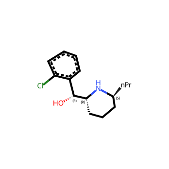 CCC[C@H]1CCC[C@H]([C@H](O)c2ccccc2Cl)N1